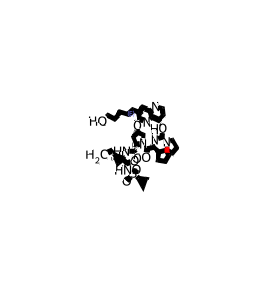 C=C[C@@H]1C[C@]1(NC(=O)[C@@H]1C[C@@H](Oc2nc3cccnc3cc2/C=C/CCCO)CN1C(=O)[C@@H](NC(=O)N1CCCC1)C1CCCC1)C(=O)NS(=O)(=O)C1CC1